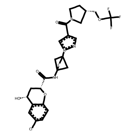 O=C(NC12CC(n3cc(C(=O)N4CC[C@H](COC(F)(F)F)C4)cn3)(C1)C2)[C@H]1C[C@@H](O)c2cc(Cl)ccc2O1